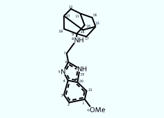 COc1ccc2nc(CNC34CC5CC(CC(C5)C3)C4)[nH]c2c1